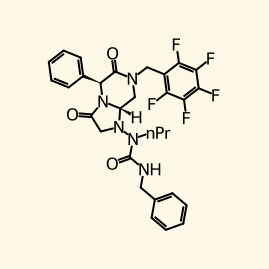 CCCN(C(=O)NCc1ccccc1)N1CC(=O)N2[C@@H](c3ccccc3)C(=O)N(Cc3c(F)c(F)c(F)c(F)c3F)C[C@@H]21